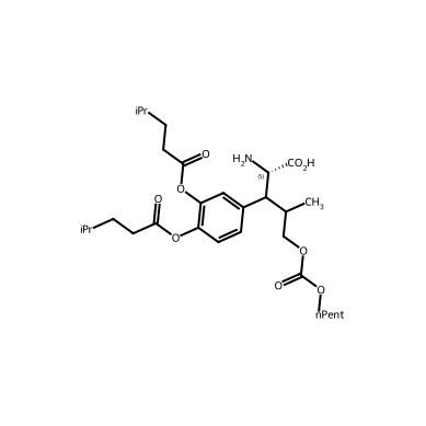 CCCCCOC(=O)OCC(C)C(c1ccc(OC(=O)CCC(C)C)c(OC(=O)CCC(C)C)c1)[C@H](N)C(=O)O